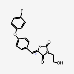 O=C1S/C(=C\c2ccc(Oc3ccc(F)cc3)cc2)C(=O)N1CCO